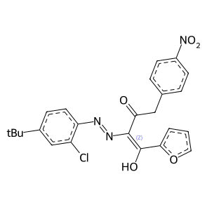 CC(C)(C)c1ccc(N=N/C(C(=O)Cc2ccc([N+](=O)[O-])cc2)=C(\O)c2ccco2)c(Cl)c1